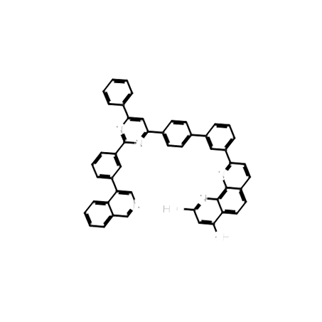 Cc1cc(C)c2ccc3ccc(-c4cccc(-c5ccc(-c6cc(-c7ccccc7)nc(-c7cccc(-c8cncc9ccccc89)c7)n6)cc5)c4)nc3c2n1